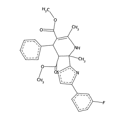 COC(=O)C1=C(C)NC(C)(c2nc(-c3cccc(F)c3)cs2)C(C(=O)OC)C1c1ccccc1